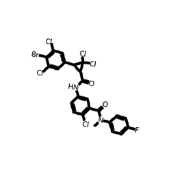 CN(C(=O)c1cc(NC(=O)C2C(c3cc(Cl)c(Br)c(Cl)c3)C2(Cl)Cl)ccc1Cl)c1ccc(F)cc1